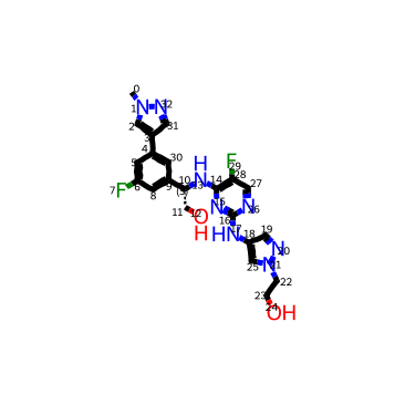 Cn1cc(-c2cc(F)cc([C@@H](CO)Nc3nc(Nc4cnn(CCO)c4)ncc3F)c2)cn1